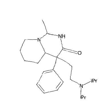 CC(C)N(CCC1(c2ccccc2)C(=O)NC(C)N2CCCCC21)C(C)C